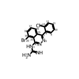 N=C(N)Nc1nnc(-c2ccccc2Cl)c2cccc(Br)c12